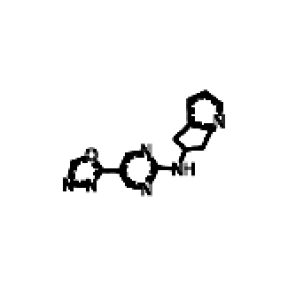 c1cnc2c(c1)CC(Nc1ncc(-c3nnco3)cn1)C2